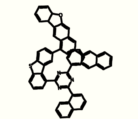 C1=CC2Oc3cc4cc(-c5ccc6ccccc6c5)cc(-c5ccc6sc7cccc(-c8nc(-c9ccccc9)nc(-c9cccc%10ccccc9%10)n8)c7c6c5)c4cc3C2C=C1